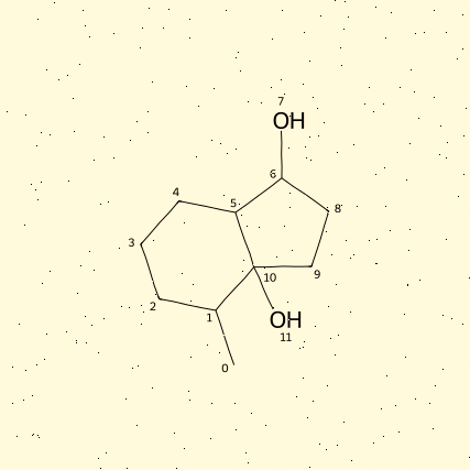 CC1CCCC2C(O)CCC12O